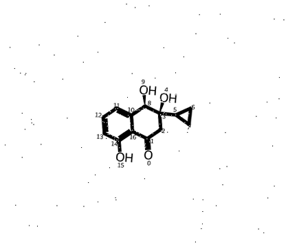 O=C1C[C@@](O)(C2CC2)[C@H](O)c2cccc(O)c21